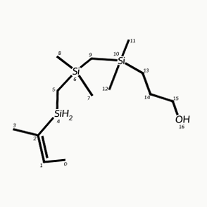 CC=C(C)[SiH2]C[Si](C)(C)C[Si](C)(C)CCCO